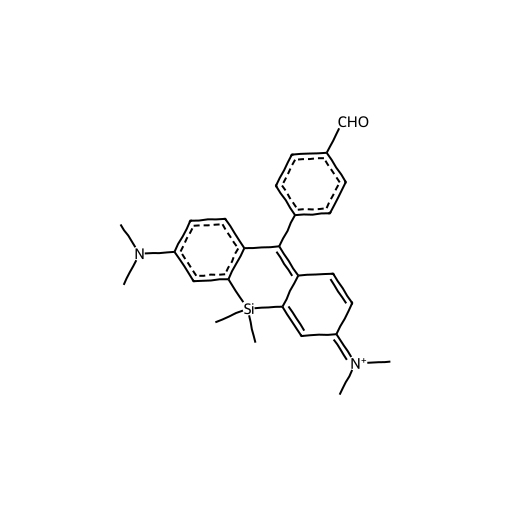 CN(C)c1ccc2c(c1)[Si](C)(C)C1=CC(=[N+](C)C)C=CC1=C2c1ccc(C=O)cc1